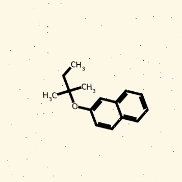 CCC(C)(C)Oc1ccc2ccccc2c1